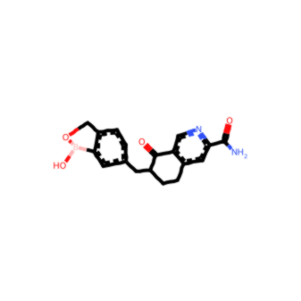 NC(=O)c1cc2c(cn1)C(=O)C(Cc1ccc3c(c1)B(O)OC3)CC2